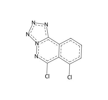 Clc1cccc2c1c(Cl)nn1nnnc21